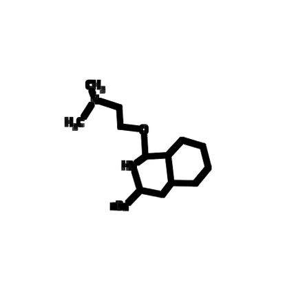 CCCCC1CC2CCCCC2C(OCCN(C)C)N1